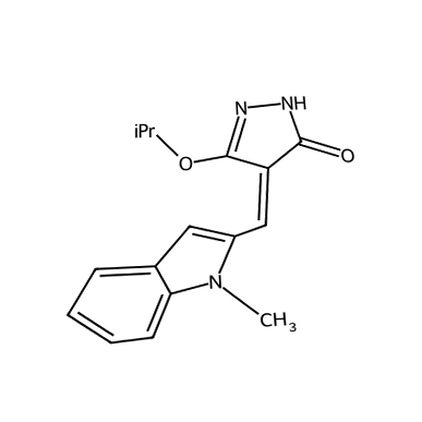 CC(C)OC1=NNC(=O)C1=Cc1cc2ccccc2n1C